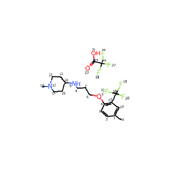 Cc1[c]cc(OCCCNC2CCN(C)CC2)c(C(F)(F)F)c1.O=C(O)C(F)(F)F